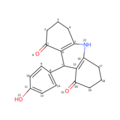 O=C1CCCC2=C1C(c1ccc(O)cc1)C1=C(CCCC1=O)N2